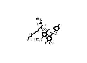 CC(C)(C)OC(=O)NC(CCCCNCC=N)C(=O)O.Cc1ccc(S(=O)(=O)O)cc1.Cc1ccc(S(=O)(=O)O)cc1.Cc1ccc(S(=O)(=O)O)cc1